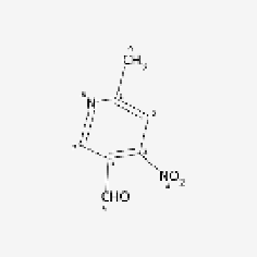 Cc1cc([N+](=O)[O-])c(C=O)cn1